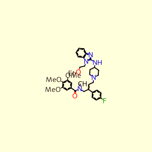 CCOCCn1c(NC2CCN(CCC(CN(C)C(=O)c3cc(OC)c(OC)c(OC)c3)c3ccc(F)cc3)CC2)nc2ccccc21